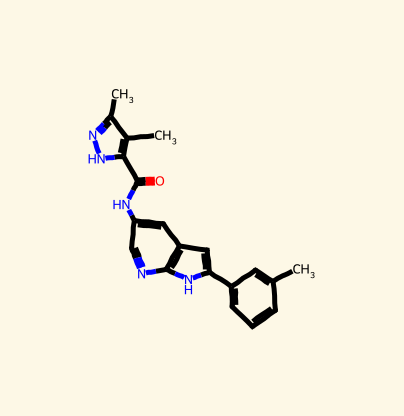 Cc1cccc(-c2cc3cc(NC(=O)c4[nH]nc(C)c4C)cnc3[nH]2)c1